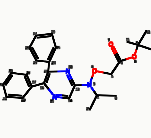 CC(C)N(OCC(=O)OC(C)(C)C)c1cnc(-c2ccccc2)c(-c2ccccc2)n1